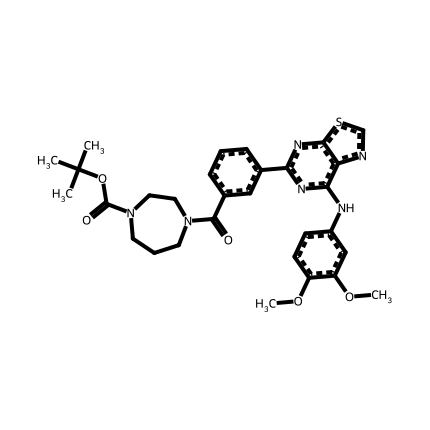 COc1ccc(Nc2nc(-c3cccc(C(=O)N4CCCN(C(=O)OC(C)(C)C)CC4)c3)nc3scnc23)cc1OC